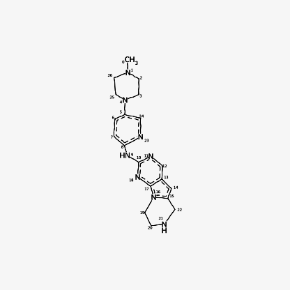 CN1CCN(c2ccc(Nc3ncc4cc5n(c4n3)CCNC5)nc2)CC1